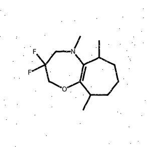 CC1CCCC(C)C2=C1OCC(F)(F)CN2C